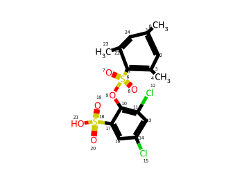 Cc1cc(C)c(S(=O)(=O)Oc2c(Cl)cc(Cl)cc2S(=O)(=O)O)c(C)c1